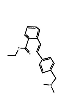 CCOC(=O)c1ccccc1C=Cc1ccc(CN(C)C)cc1